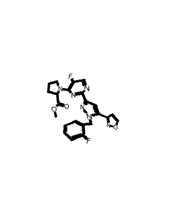 COC(=O)C1CCCN1c1nc(-c2cc(-c3ccon3)n(Cc3ccccc3F)n2)ncc1F